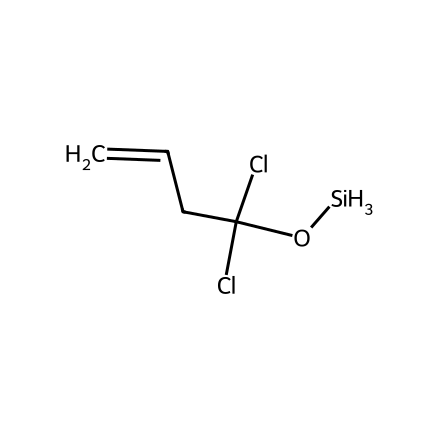 C=CCC(Cl)(Cl)O[SiH3]